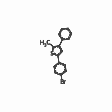 Cc1sc(-c2ccc(Br)cc2)cc1-c1ccccc1